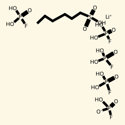 CCCCCCS(=O)(=O)O.O=P(O)(O)F.O=P(O)(O)F.O=P(O)(O)F.O=P(O)(O)F.O=P([O-])(O)F.[Li+]